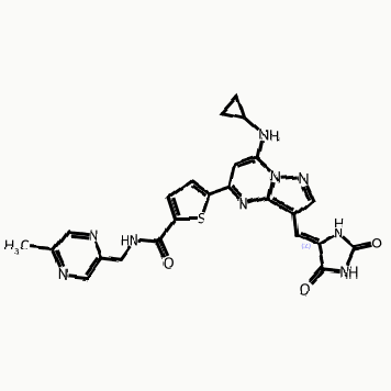 Cc1cnc(CNC(=O)c2ccc(-c3cc(NC4CC4)n4ncc(/C=C5\NC(=O)NC5=O)c4n3)s2)cn1